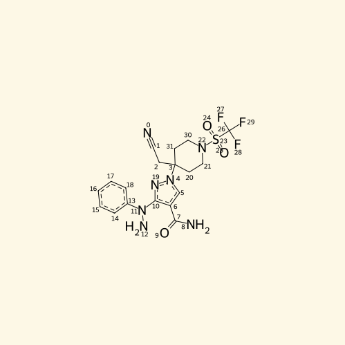 N#CCC1(n2cc(C(N)=O)c(N(N)c3ccccc3)n2)CCN(S(=O)(=O)C(F)(F)F)CC1